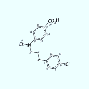 CCN(CCCc1ccc(Cl)cc1)c1ccc(C(=O)O)cc1